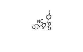 N#Cc1c(N2CCOCC2)sc2c1C(c1ccc(I)cc1)OC2=O